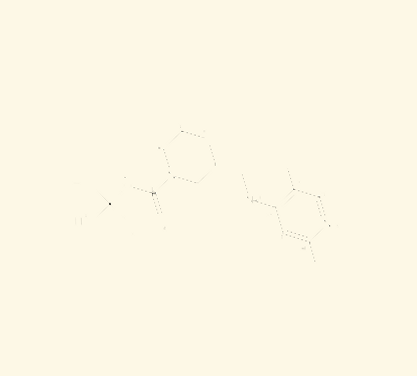 CC(C)(C)OC(=O)N1CCO[C@H](CNc2cc(Cl)ncc2I)C1